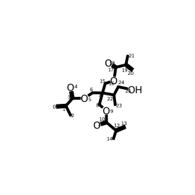 C=C(C)C(=O)OCC(COC(=O)C(=C)C)(COC(=O)C(=C)C)C(C)CO